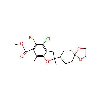 COC(=O)c1c(C)c2c(c(Cl)c1Br)CC(C)(C1CCC3(CC1)OCCO3)O2